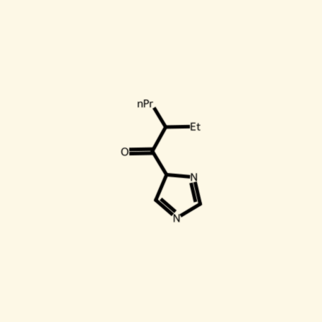 CCCC(CC)C(=O)C1C=NC=N1